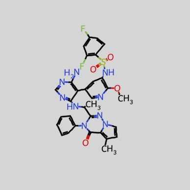 COc1ncc(-c2c(N)ncnc2NC(C)c2nn3ccc(C)c3c(=O)n2-c2ccccc2)cc1NS(=O)(=O)c1ccc(F)cc1F